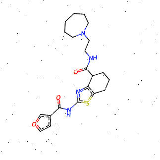 O=C(Nc1nc2c(s1)CCCC2C(=O)NCCN1CCCCCC1)c1ccoc1